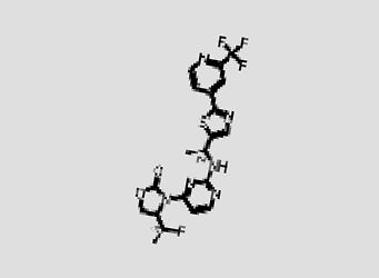 C[C@H](Nc1nccc(N2C(=O)OCC2[C@H](C)F)n1)c1cnc(-c2ccnc(C(F)(F)F)c2)s1